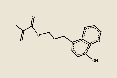 C=C(C)C(=O)OCCCc1ccc(O)c2ncccc12